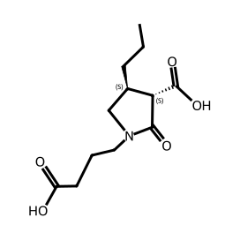 CCC[C@@H]1CN(CCCC(=O)O)C(=O)[C@H]1C(=O)O